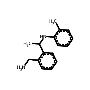 Cc1ccccc1NC(C)c1ccccc1CN